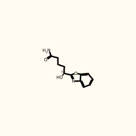 NC(=O)CCC[C@H](O)c1nc2ccccc2o1